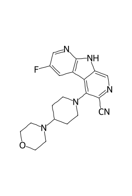 N#Cc1ncc2[nH]c3ncc(F)cc3c2c1N1CCC(N2CCOCC2)CC1